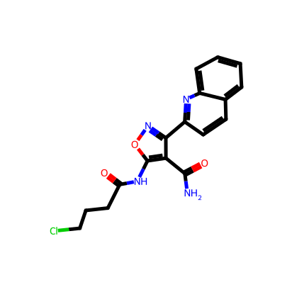 NC(=O)c1c(-c2ccc3ccccc3n2)noc1NC(=O)CCCCl